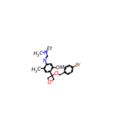 CCN(C)C=Nc1cc(OC)c(C2(OCc3ccc(Br)cc3)COC2)cc1C